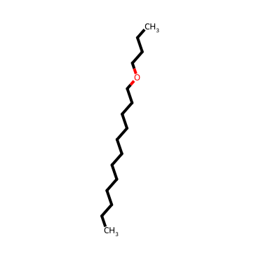 CCCCCCCCCCCCOCCCC